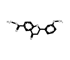 COC(=O)c1ccc2c(c1)C(=O)CC(c1cccc(OC)c1)O2